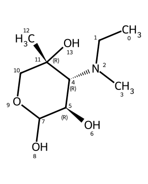 CCN(C)[C@@H]1[C@@H](O)C(O)OC[C@]1(C)O